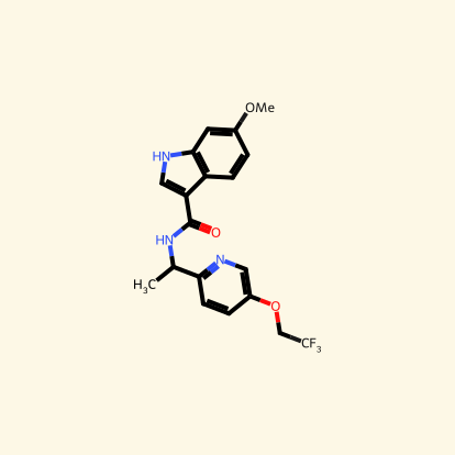 COc1ccc2c(C(=O)NC(C)c3ccc(OCC(F)(F)F)cn3)c[nH]c2c1